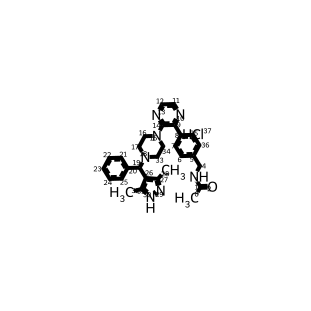 CC(=O)NCc1ccc(-c2nccnc2N2CCN(C(c3ccccc3)c3c(C)n[nH]c3C)CC2)cc1.Cl